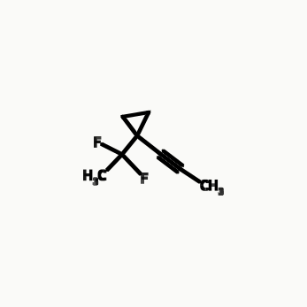 CC#CC1(C(C)(F)F)CC1